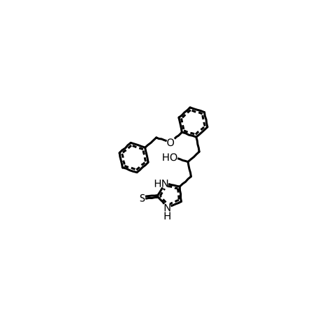 OC(Cc1c[nH]c(=S)[nH]1)Cc1ccccc1OCc1ccccc1